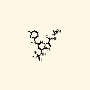 [2H]C([2H])([2H])Nc1cc(Nc2cccc(C)n2)nn2c(C(=O)N[C@@H]3C[C@@H]3F)cnc12